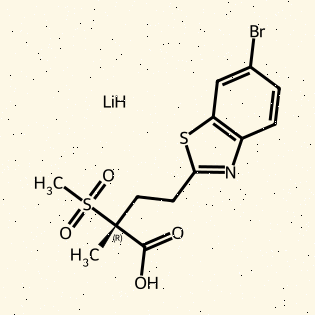 C[C@@](CCc1nc2ccc(Br)cc2s1)(C(=O)O)S(C)(=O)=O.[LiH]